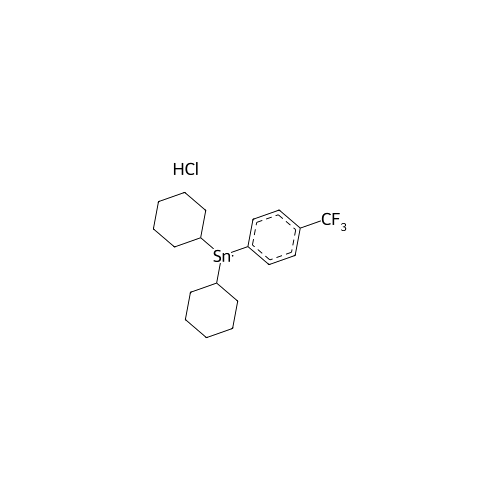 Cl.FC(F)(F)c1cc[c]([Sn]([CH]2CCCCC2)[CH]2CCCCC2)cc1